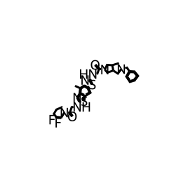 Cc1c2nc(NCC(=O)N3CC4CN(Cc5ccccc5)CC4C3)sc2cc2sc(NCC(=O)N3CCCC(F)(F)C3)nc12